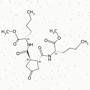 CCCC[C@H](NC(=O)[C@@H]1CC(=O)C[C@H]1C(=O)N[C@@H](CCCC)C(=O)OC)C(=O)OC